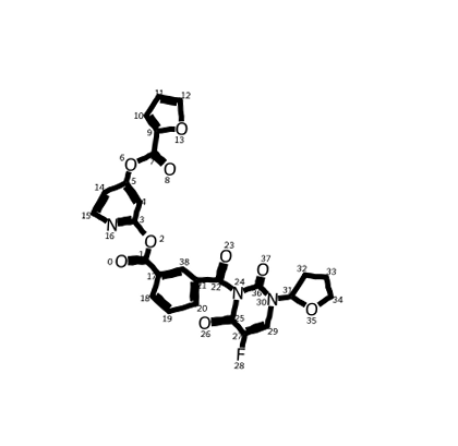 O=C(Oc1cc(OC(=O)c2ccco2)ccn1)c1cccc(C(=O)n2c(=O)c(F)cn(C3CCCO3)c2=O)c1